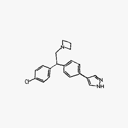 Clc1ccc(C(CN2CCC2)c2ccc(-c3cn[nH]c3)cc2)cc1